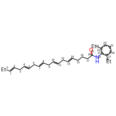 CC/C=C/C/C=C/C/C=C/C/C=C/C/C=C/CCCC(=O)Nc1c(CC)cccc1CC